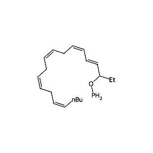 CCCC/C=C\C/C=C\C/C=C\C/C=C\C=C\C(CC)OP